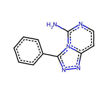 Nc1nccc2nnc(-c3ccccc3)n12